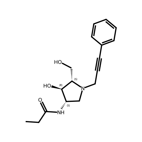 CCC(=O)N[C@H]1CN(CC#Cc2ccccc2)[C@@H](CO)[C@@H]1O